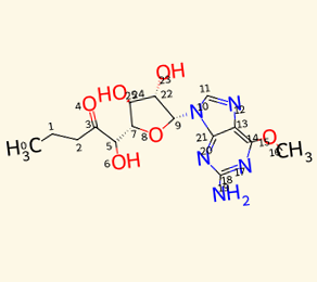 CCCC(=O)C(O)[C@H]1O[C@@H](n2cnc3c(OC)nc(N)nc32)[C@@H](O)[C@@H]1O